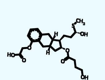 CS[C@H](O)CC[C@@H]1[C@H]2Cc3cccc(OCC(=O)O)c3C[C@H]2C[C@H]1OC(=O)CCCO